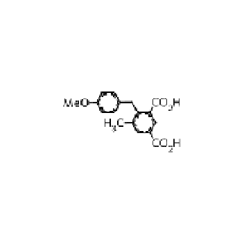 COc1ccc(Cc2c(C)cc(C(=O)O)cc2C(=O)O)cc1